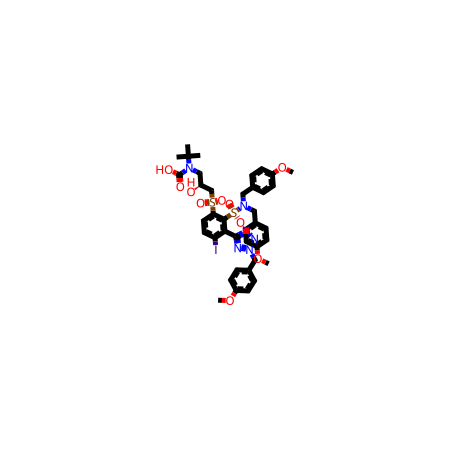 COc1ccc(CN(Cc2ccc(OC)cc2)S(=O)(=O)c2c(S(=O)(=O)C[C@H](O)CN(C(=O)O)C(C)(C)C)ccc(I)c2-c2nnn(Cc3ccc(OC)cc3)n2)cc1